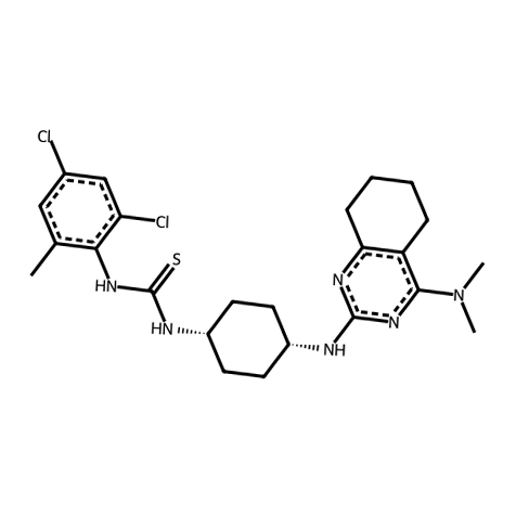 Cc1cc(Cl)cc(Cl)c1NC(=S)N[C@H]1CC[C@@H](Nc2nc3c(c(N(C)C)n2)CCCC3)CC1